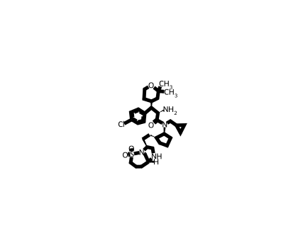 CC1(C)CC([C@H](c2ccc(Cl)cc2)[C@H](N)C(=O)N(CC2CC2)[C@H]2CCC[C@@H]2CC[C@H]2CN[C@@H]3CCCS(=O)(=O)N2C3)CCO1